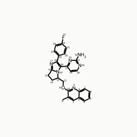 Cc1cc2ccccc2nc1OCC1CCc2nc(-c3ccc(F)cc3)c(-c3ccnc(N)n3)n21